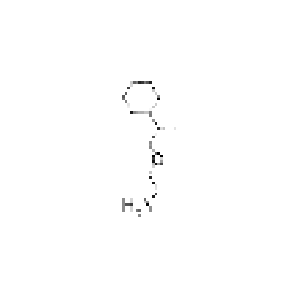 NCCOC[C@@H](I)C1CCCCC1